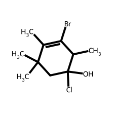 CC1=C(Br)C(C)C(O)(Cl)CC1(C)C